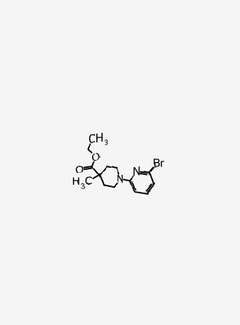 CCOC(=O)C1(C)CCN(c2cccc(Br)n2)CC1